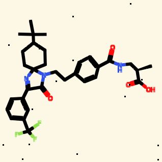 C[C@H](CNC(=O)c1ccc(CCN2C(=O)C(c3cccc(C(F)(F)F)c3)=NC23CCC(C(C)(C)C)CC3)cc1)C(=O)O